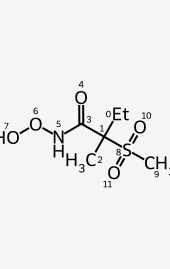 CCC(C)(C(=O)NOO)S(C)(=O)=O